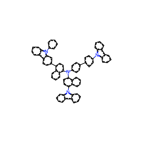 c1ccc(-n2c3ccccc3c3ccc(-c4ccc(N(c5ccc(-c6ccc(-n7c8ccccc8c8ccccc87)cc6)cc5)c5ccc(-n6c7ccccc7c7ccccc76)c6ccccc56)c5ccccc45)cc32)cc1